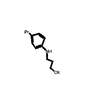 CC(C)c1ccc(NCCCC#N)cc1